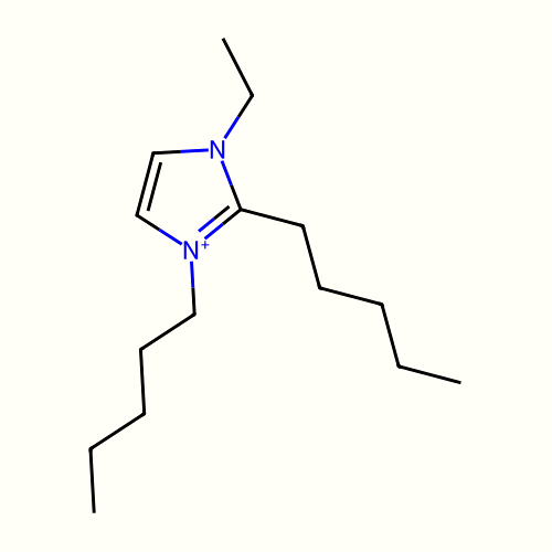 CCCCCc1n(CC)cc[n+]1CCCCC